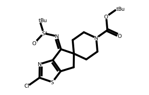 CC(C)(C)OC(=O)N1CCC2(CC1)Cc1sc(Cl)nc1C2=N[S+]([O-])C(C)(C)C